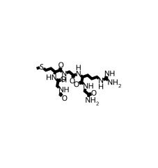 CSCCC(NC(=O)CNC=O)C(=O)NCC(=O)NC(CCCNC(=N)N)C(=O)NCC(N)=O